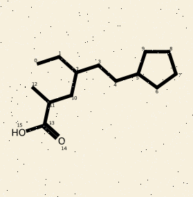 CCC(CCC1CCCC1)CC(C)C(=O)O